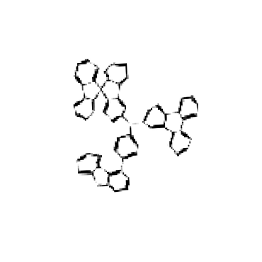 c1ccc2c(c1)-c1ccccc1C21c2ccccc2-c2cc(N(c3ccc(-c4cccc5sc6ccccc6c45)cc3)c3ccc4c5ccccc5c5ccccc5c4c3)ccc21